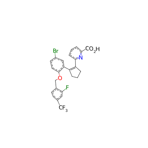 O=C(O)c1cccc(C2=C(c3cc(Br)ccc3OCc3ccc(C(F)(F)F)cc3F)CCC2)n1